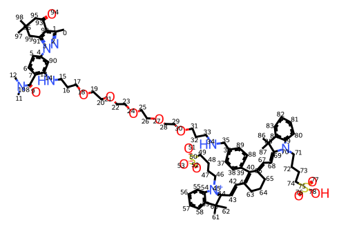 Cc1nn(-c2ccc(C(=O)N(C)C)c(NCCCOCCOCCOCCOCCOCCCNCc3ccc(C4=C(/C=C/C5=[N+](CCCCS(=O)(=O)[O-])c6ccccc6C5(C)C)CCC/C4=C\C=C4\N(CCCCS(=O)(=O)O)c5ccccc5C4(C)C)cc3)c2)c2c1C(=O)CC(C)(C)C2